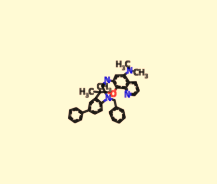 CN(C)c1cc2c(c3ncccc13)OC1(C=N2)N(Cc2ccccc2)c2ccc(-c3ccccc3)cc2C1(C)C